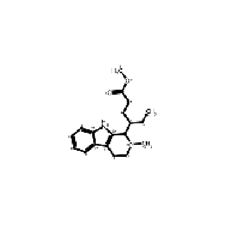 CCC(CCC(=O)OC)C1c2[nH]c3ccccc3c2CCN1C